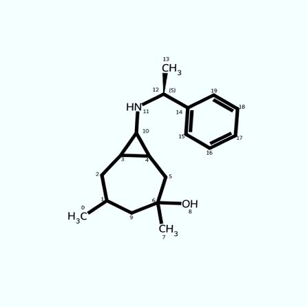 CC1CC2C(CC(C)(O)C1)C2N[C@@H](C)c1ccccc1